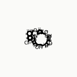 C[C@@H]1/C=C/[C@H](O)[C@@H]2CC[C@H]2CN2C[C@@]3(CCCc4cc(Cl)ccc43)COc3ccc(cc32)C(=O)NS(=O)(=O)[C@@H]2COC[C@@H]12